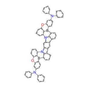 c1ccc(N(c2ccccc2)c2ccc3c(c2)Oc2cccc4c2B3c2cccc3c5cc6c7cccc8c7n(c6cc5n-4c23)-c2cccc3c2B8c2ccc(N(c4ccccc4)c4ccccc4)cc2O3)cc1